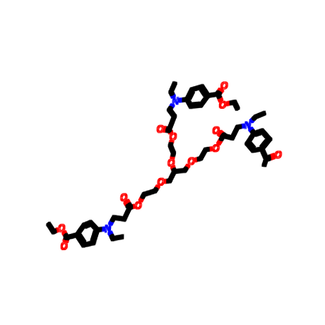 CCOC(=O)c1ccc(N(CC)CCC(=O)OCCOCC(COCCOC(=O)CCN(CC)c2ccc(C(C)=O)cc2)OCCOC(=O)CCN(CC)c2ccc(C(=O)OCC)cc2)cc1